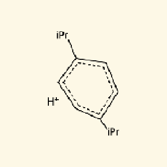 CC(C)c1ccc(C(C)C)cc1.[H+]